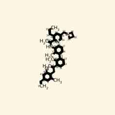 C=Cc1cc(C)c(CC(=C)c2cccc(-c3cccc(NC(=C)c4ncc(CN5CCC5)cc4/C=C\C)c3C)c2C)c(Cl)c1